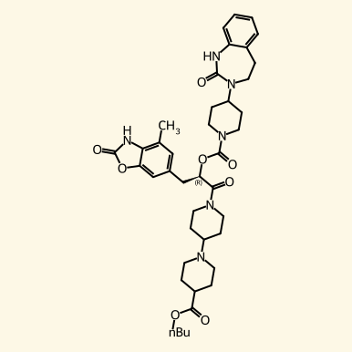 CCCCOC(=O)C1CCN(C2CCN(C(=O)[C@@H](Cc3cc(C)c4[nH]c(=O)oc4c3)OC(=O)N3CCC(N4CCc5ccccc5NC4=O)CC3)CC2)CC1